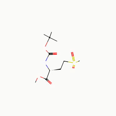 COC(=O)[C@H](CCS(C)(=O)=O)NC(=O)OC(C)(C)C